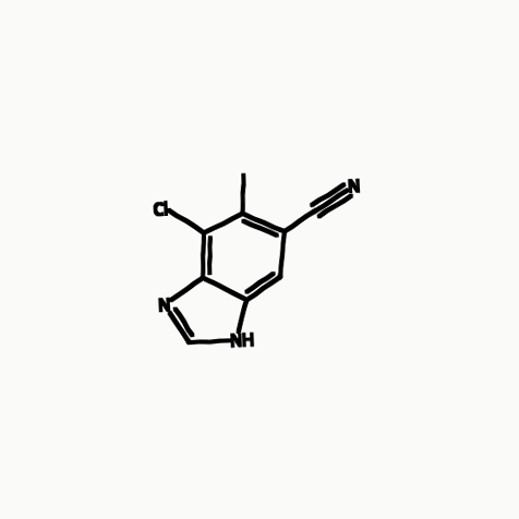 Cc1c(C#N)cc2[nH]cnc2c1Cl